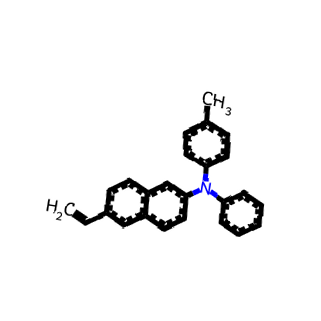 C=Cc1ccc2cc(N(c3ccccc3)c3ccc(C)cc3)ccc2c1